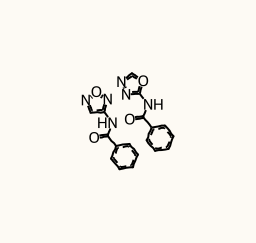 O=C(Nc1cnon1)c1ccccc1.O=C(Nc1nnco1)c1ccccc1